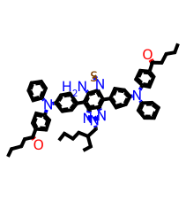 CCCCC(=O)c1ccc(N(c2ccccc2)c2ccc(-c3c(N)c(N=S)c(-c4ccc(N(c5ccccc5)c5ccc(C(=O)CCCC)cc5)cc4)c4nn(CC(CC)CCCC)nc34)cc2)cc1